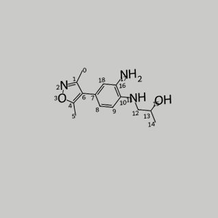 Cc1noc(C)c1-c1ccc(NCC(C)O)c(N)c1